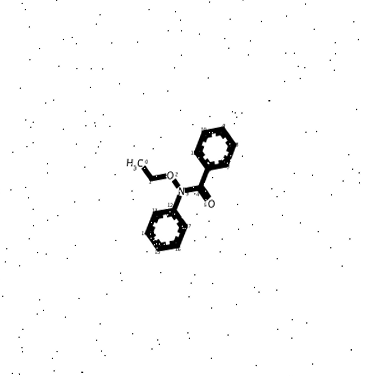 CCON(C(=O)c1cc[c]cc1)c1ccccc1